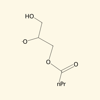 CCCC(=O)OCC([O])CO